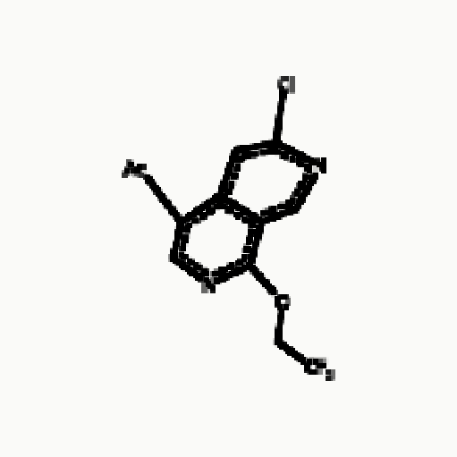 CC(=O)c1cnc(OCC(F)(F)F)c2cnc(Cl)cc12